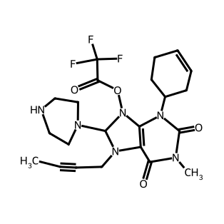 CC#CCN1c2c(n(C3CC=CCC3)c(=O)n(C)c2=O)N(OC(=O)C(F)(F)F)C1N1CCNCC1